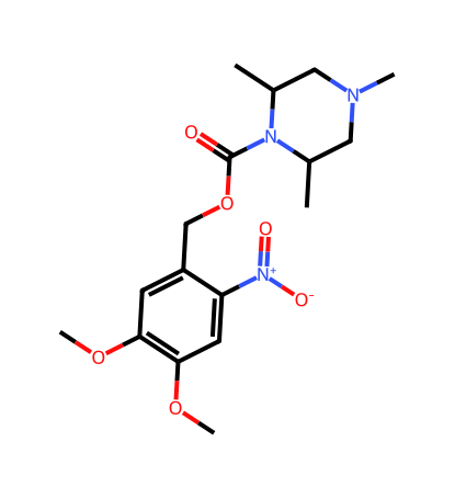 COc1cc(COC(=O)N2C(C)CN(C)CC2C)c([N+](=O)[O-])cc1OC